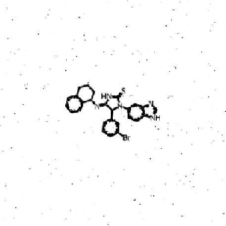 S=C1NC(=NC2CCCc3ccccc32)C(c2cccc(Br)c2)N1c1ccc2[nH]cnc2c1